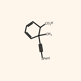 CCCCCC#CC1(C)C=CC=CC1C(=O)O